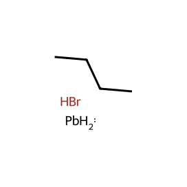 Br.CCCC.[PbH2]